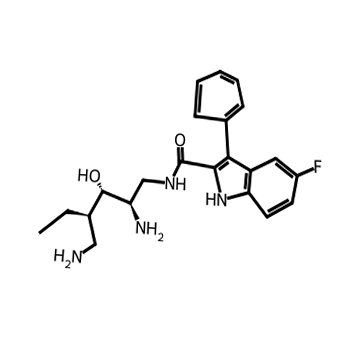 CC[C@H](CN)[C@H](O)[C@H](N)CNC(=O)c1[nH]c2ccc(F)cc2c1-c1ccccc1